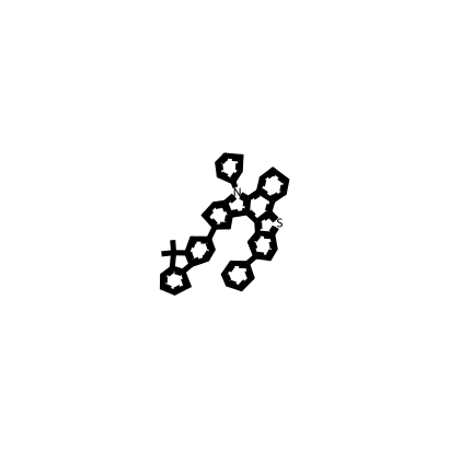 CC1(C)c2ccccc2-c2ccc(-c3ccc4c(c3)c3c5c6cc(-c7ccccc7)ccc6sc5c5ccccc5c3n4-c3ccccc3)cc21